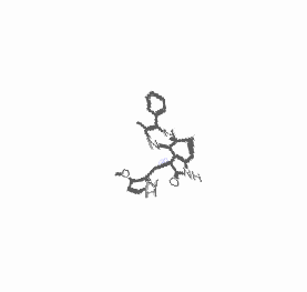 COc1cc[nH]c1/C=C1\C(=O)Nc2ccc3nc(-c4ccccc4)c(C)nc3c21